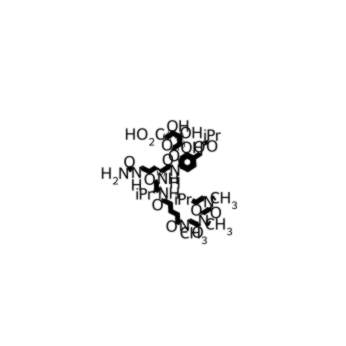 CC(C)C(=O)CN(C)C(=O)CN(C)C(=O)CN(C)C(=O)CCCC(=O)N[C@H](C(=O)N[C@@H](CCCNC(N)=O)C(=O)Nc1ccc(COC(=O)C(C)C)cc1O[C@@H]1O[C@H](C(=O)O)[C@@H](O)[C@H](O)[C@H]1O)C(C)C